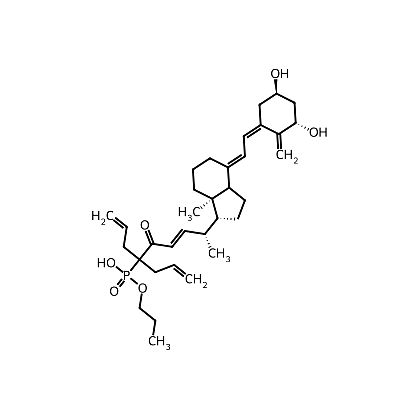 C=CCC(CC=C)(C(=O)/C=C/[C@@H](C)[C@H]1CCC2/C(=C/C=C3/C[C@@H](O)C[C@H](O)C3=C)CCC[C@@]21C)P(=O)(O)OCCC